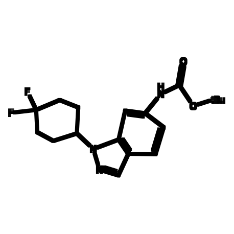 CC(C)(C)OC(=O)Nc1ccc2cnn(C3CCC(F)(F)CC3)c2c1